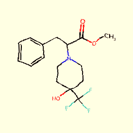 COC(=O)C(Cc1ccccc1)N1CCC(O)(C(F)(F)F)CC1